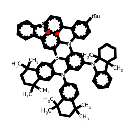 CC(C)(C)c1ccc(N2c3cc4sc5ccccc5c4cc3B3c4cc5c(cc4N(c4ccc6c(c4)C(C)(C)CCC6(C)C)c4cc(N6c7ccccc7C7(C)CCCCC67C)cc2c43)C(C)(C)CCC5(C)C)c(-c2ccccc2)c1